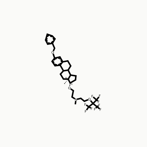 CN(CCO[C@H]1CCC2C3CCc4cc(OCc5ccccc5)ccc4C3CC[C@@]21C)CCOC(C(F)(F)F)(C(F)(F)F)C(F)(F)F